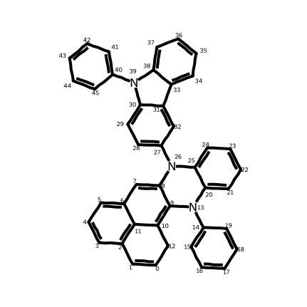 C1=Cc2cccc3cc4c(c(c23)C1)N(c1ccccc1)c1ccccc1N4c1ccc2c(c1)c1ccccc1n2-c1ccccc1